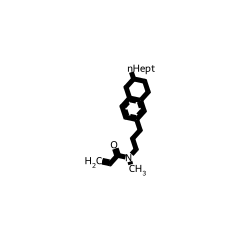 C=CC(=O)N(C)CCCc1ccc2c(c1)CCC(CCCCCCC)C2